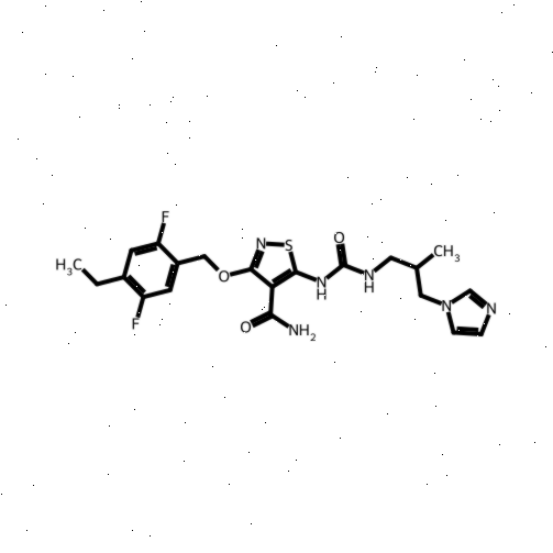 CCc1cc(F)c(COc2nsc(NC(=O)NCC(C)Cn3ccnc3)c2C(N)=O)cc1F